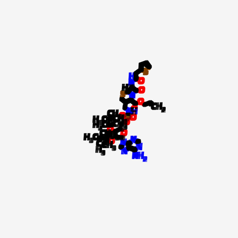 C=CCOC(=O)C1=C(CNS(=O)(=O)OC[C@H]2O[C@@H](n3cnc4c(N)ncnc43)C(O[Si](C)(C)C(C)(C)C)C2O[Si](C)(C)C(C)(C)C)CS[C@@H]2[C@H](NC(=O)Cc3cccs3)C(=O)N12